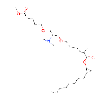 CCCCCCCCC1CC1OC(=O)C(C)CCCCOCC(COCCCCC(=O)OC)N(C)C